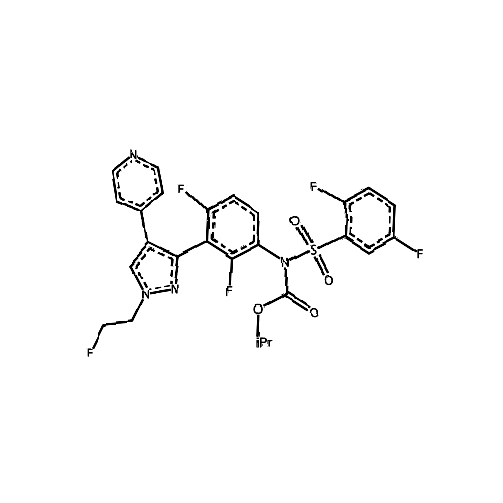 CC(C)OC(=O)N(c1ccc(F)c(-c2nn(CCF)cc2-c2ccncc2)c1F)S(=O)(=O)c1cc(F)ccc1F